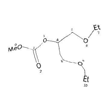 [CH2]OC(=O)OC(COCC)COCC